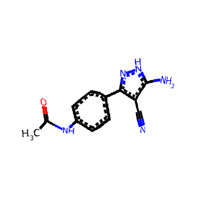 CC(=O)Nc1ccc(-c2n[nH]c(N)c2C#N)cc1